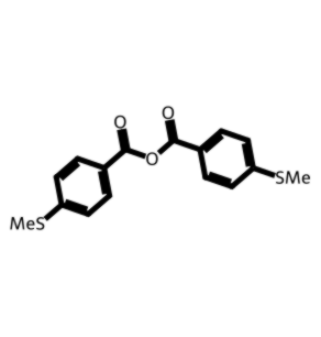 CSc1ccc(C(=O)OC(=O)c2ccc(SC)cc2)cc1